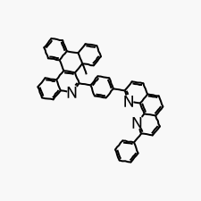 CC12C=CC=CC1c1ccccc1-c1c2c(-c2ccc(-c3ccc4ccc5ccc(-c6ccccc6)nc5c4n3)cc2)nc2ccccc12